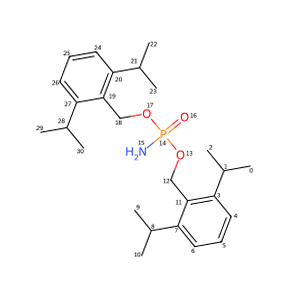 CC(C)c1cccc(C(C)C)c1COP(N)(=O)OCc1c(C(C)C)cccc1C(C)C